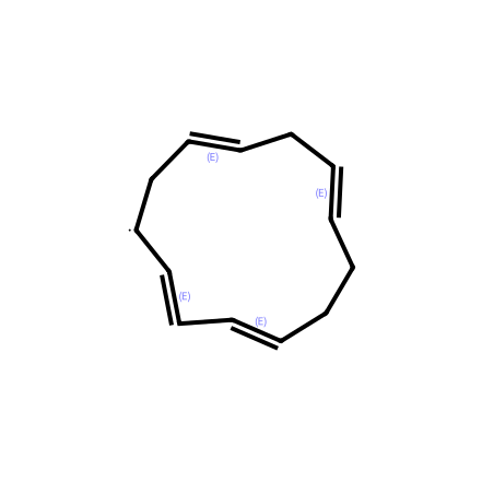 [CH]1/C=C/C=C/CC/C=C/C/C=C/C1